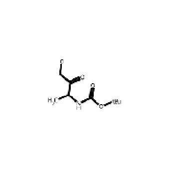 CC(NC(=O)OC(C)(C)C)C(=O)CCl